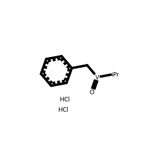 C[CH](C)[V](=[O])[CH2]c1ccccc1.Cl.Cl